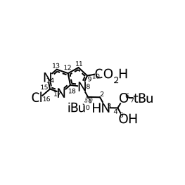 CCC(C)[C@@H](CNC(O)OC(C)(C)C)n1c(C(=O)O)cc2cnc(Cl)nc21